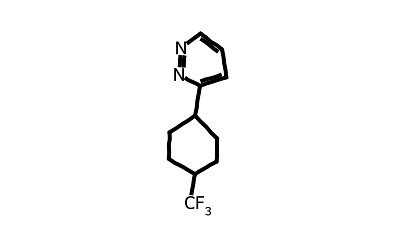 FC(F)(F)C1CCC(c2cccnn2)CC1